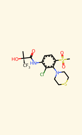 C[C@@](O)(C(=O)Nc1ccc(S(C)(=O)=O)c(N2CCSCC2)c1Cl)C(F)(F)F